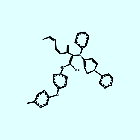 C=C(/C=C\C=C/C)/C(=C(/CCCC)Nc1ccc(Nc2ccc(C)cc2)cc1)N(C1=CCC(c2ccccc2)C=C1)c1ccccc1